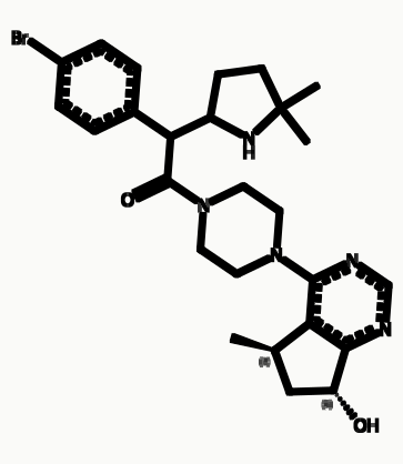 C[C@@H]1C[C@@H](O)c2ncnc(N3CCN(C(=O)C(c4ccc(Br)cc4)C4CCC(C)(C)N4)CC3)c21